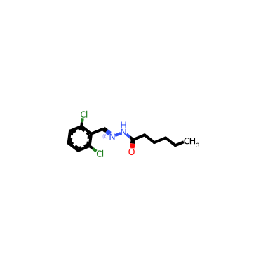 CCCCCC(=O)N/N=C/c1c(Cl)cccc1Cl